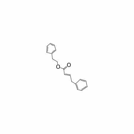 O=C(C=CCc1ccccc1)OCCc1ccccc1